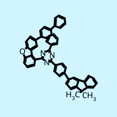 CC1(C)c2ccccc2-c2cc(-c3ccc(-c4nc(-c5ccccc5)nc(-c5cccc6oc7ccc(C8=CC=C(c9ccccc9)CC8)cc7c56)n4)cc3)ccc21